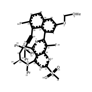 COCOc1cc(-c2nc3c4c(nc(S(C)(=O)=O)nc4c2F)N(C(C)C)[C@@H](C)CO3)c2c(C#C[Si](C(C)C)(C(C)C)C(C)C)c(F)ccc2c1